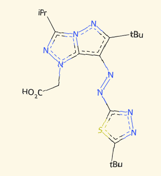 CC(C)c1nn(CC(=O)O)c2c(N=Nc3nnc(C(C)(C)C)s3)c(C(C)(C)C)nn12